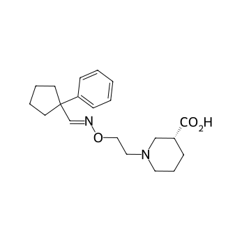 O=C(O)[C@@H]1CCCN(CCON=CC2(c3ccccc3)CCCC2)C1